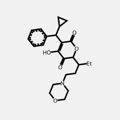 CCC(CCN1CCOCC1)C1OC(=O)C(C(c2ccccc2)C2CC2)=C(O)C1=O